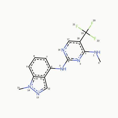 CNc1nc(Nc2cccc3c2cnn3C)ncc1C(F)(F)F